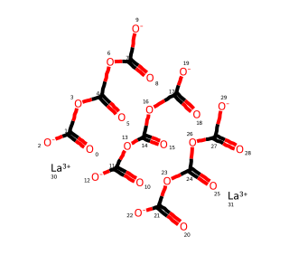 O=C([O-])OC(=O)OC(=O)[O-].O=C([O-])OC(=O)OC(=O)[O-].O=C([O-])OC(=O)OC(=O)[O-].[La+3].[La+3]